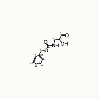 O=[C]C(O)CNC(=O)OCc1ccccc1